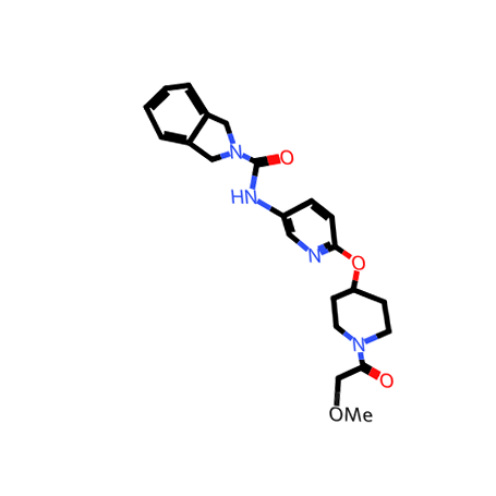 COCC(=O)N1CCC(Oc2ccc(NC(=O)N3Cc4ccccc4C3)cn2)CC1